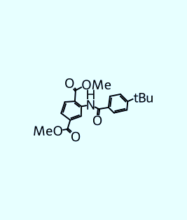 COC(=O)c1ccc(C(=O)OC)c(NC(=O)c2ccc(C(C)(C)C)cc2)c1